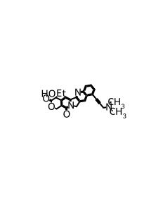 CC[C@@]1(O)C(=O)OCc2c1cc1n(c2=O)Cc2cc3c(C#CCN(C)C)cccc3nc2-1